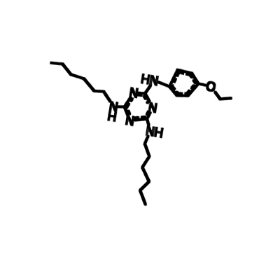 CCCCCCNc1nc(NCCCCCC)nc(Nc2ccc(OCC)cc2)n1